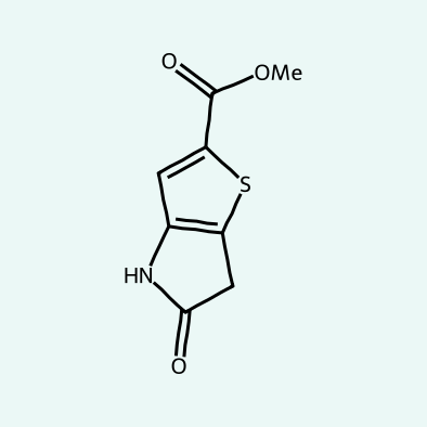 COC(=O)c1cc2c(s1)CC(=O)N2